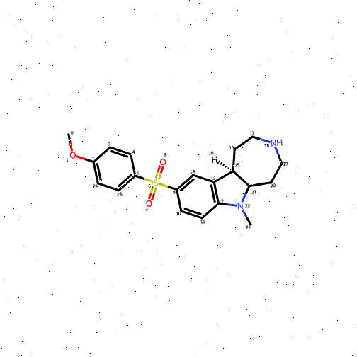 COc1ccc(S(=O)(=O)c2ccc3c(c2)[C@H]2CCNCCC2N3C)cc1